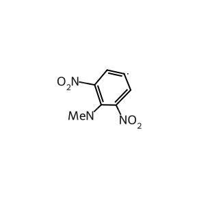 CNc1c([N+](=O)[O-])c[c]cc1[N+](=O)[O-]